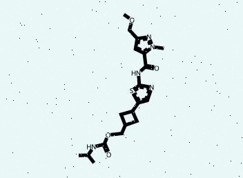 COCc1cc(C(=O)Nc2ncc(C3CC(COC(=O)NC(C)C)C3)s2)n(C)n1